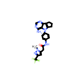 Cn1nc(C(F)(F)F)cc1CC(=O)Nc1ccc(-n2c3c(c4ncnc(N)c42)CCC3)cc1